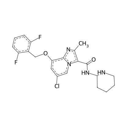 Cc1nc2c(OCc3c(F)cccc3F)cc(Cl)cn2c1C(=O)NC1CCCCN1